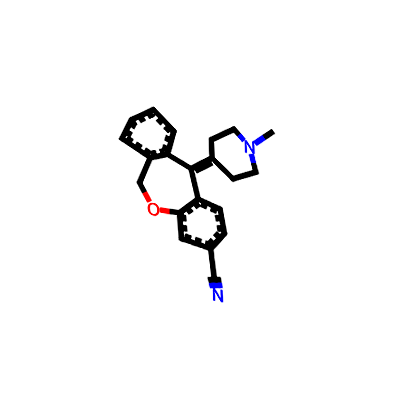 CN1CCC(=C2c3ccccc3COc3cc(C#N)ccc32)CC1